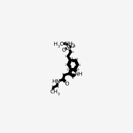 CCCNC(=O)Cc1c[nH]c2ccc(CCS(=O)(=O)NC)cc12